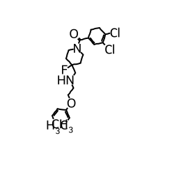 C/C=C\C(=C/C)OCCNCC1(F)CCN(C(=O)C2=CC(Cl)=C(Cl)CC2)CC1